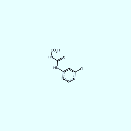 O=C(O)NC(=S)Nc1cc(Cl)ccn1